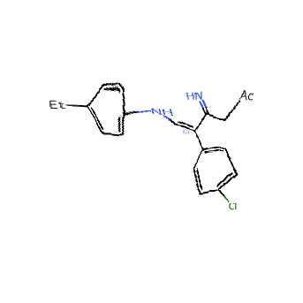 CCc1ccc(N/C=C(\C(=N)CC(C)=O)c2ccc(Cl)cc2)cc1